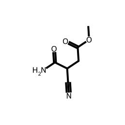 COC(=O)CC(C#N)C(N)=O